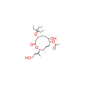 CC[Si](CC)(CC)O[C@@H]1CC[C@@](C)(O)[C@@H](OC(C)=O)/C=C/[C@H](C)[C@@H](/C(C)=C/CO)OC(=O)C1